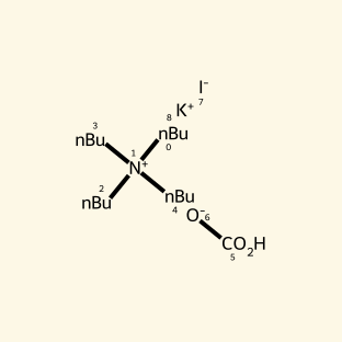 CCCC[N+](CCCC)(CCCC)CCCC.O=C([O-])O.[I-].[K+]